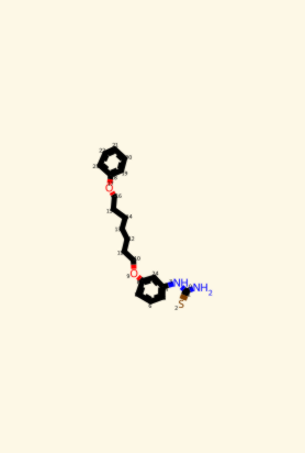 NC(=S)Nc1cccc(OCCCCCCCOc2ccccc2)c1